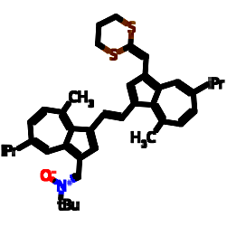 Cc1ccc(C(C)C)cc2c(C=C3SCCCS3)cc(/C=C/c3cc(/C=[N+](\[O-])C(C)(C)C)c4cc(C(C)C)ccc(C)c3-4)c1-2